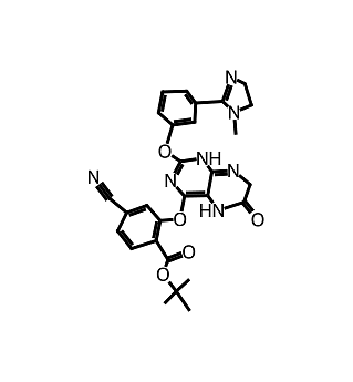 CN1CCN=C1c1cccc(OC2=NC(Oc3cc(C#N)ccc3C(=O)OC(C)(C)C)=C3NC(=O)CN=C3N2)c1